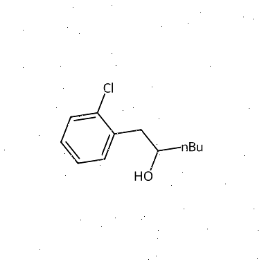 CCCCC(O)Cc1ccccc1Cl